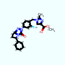 COC(=O)c1cn(Cc2ccc(-n3nc4n(c3=O)C(c3ccccc3)CC4)cc2F)c(C)n1